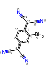 Bc1cc(=C(C#N)C#N)ccc1=C(C#N)C#N